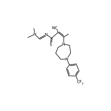 CC(=C(C#N)C(=S)N=CN(C)C)N1CCCN(c2ccc(C(F)(F)F)cc2)CC1